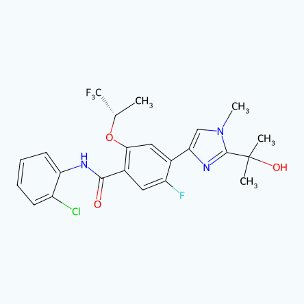 C[C@H](Oc1cc(-c2cn(C)c(C(C)(C)O)n2)c(F)cc1C(=O)Nc1ccccc1Cl)C(F)(F)F